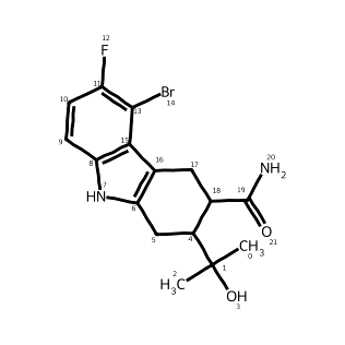 CC(C)(O)C1Cc2[nH]c3ccc(F)c(Br)c3c2CC1C(N)=O